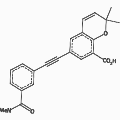 CNC(=O)c1cccc(C#Cc2cc3c(c(C(=O)O)c2)OC(C)(C)C=C3)c1